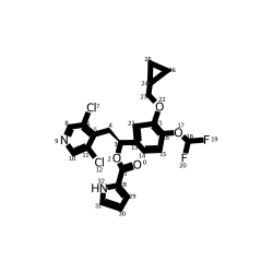 O=C(O[C@@H](Cc1c(Cl)cncc1Cl)c1ccc(OC(F)F)c(OCC2CC2)c1)c1ccc[nH]1